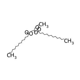 CCCCCCCCCCCCCC(=O)OCC(COCC)OC(=O)CCCCCCCCCCCCC